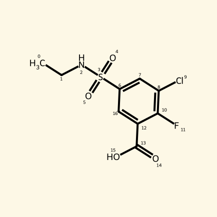 CCNS(=O)(=O)c1cc(Cl)c(F)c(C(=O)O)c1